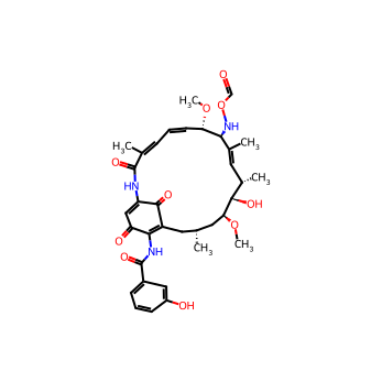 CO[C@H]1/C=C\C=C(/C)C(=O)NC2=CC(=O)C(NC(=O)c3cccc(O)c3)=C(C[C@@H](C)C[C@H](OC)[C@H](O)[C@@H](C)/C=C(\C)[C@@H]1NOC=O)C2=O